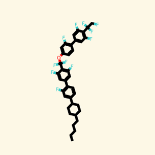 CCCCCC1CCC(c2ccc(-c3cc(F)c(C(F)(F)Oc4ccc(-c5cc(F)c(C(F)(F)CF)c(F)c5)c(F)c4)c(F)c3)c(F)c2)CC1